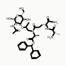 CC(=O)N[C@@H]1[C@@H](OC(C)CN(C(=O)CC[C@@H](NC(=O)[C@H](C)N)C(N)=O)[C@@H](C)C(=O)OC(c2ccccc2)c2ccccc2)[C@H](O)[C@@H](CO)O[C@@H]1O